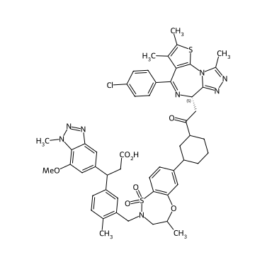 COc1cc(C(CC(=O)O)c2ccc(C)c(CN3CC(C)Oc4cc(C5CCCC(C(=O)C[C@@H]6N=C(c7ccc(Cl)cc7)c7c(sc(C)c7C)-n7c(C)nnc76)C5)ccc4S3(=O)=O)c2)cc2nnn(C)c12